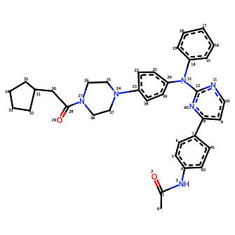 CC(=O)Nc1ccc(-c2ccnc(N(c3ccccc3)c3ccc(N4CCN(C(=O)CC5CCCC5)CC4)cc3)n2)cc1